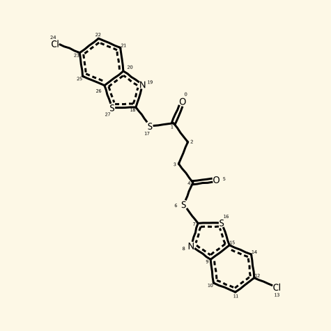 O=C(CCC(=O)Sc1nc2ccc(Cl)cc2s1)Sc1nc2ccc(Cl)cc2s1